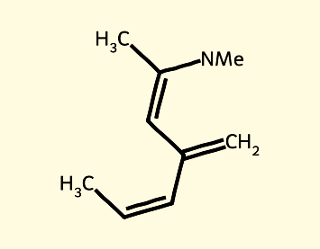 C=C(/C=C\C)/C=C(/C)NC